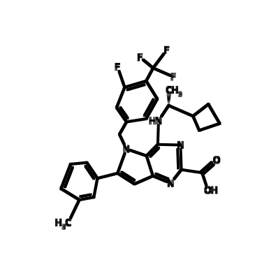 Cc1cccc(-c2cc3nc(C(=O)O)nc(N[C@H](C)C4CCC4)c3n2Cc2ccc(C(F)(F)F)c(F)c2)c1